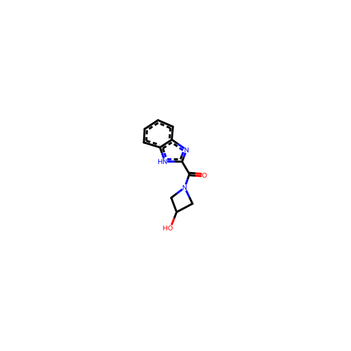 O=C(c1nc2ccccc2[nH]1)N1CC(O)C1